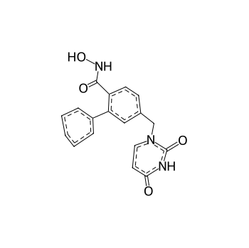 O=C(NO)c1ccc(Cn2ccc(=O)[nH]c2=O)cc1-c1ccccc1